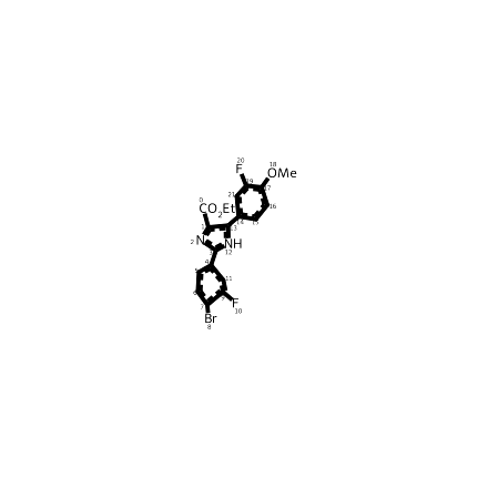 CCOC(=O)c1nc(-c2ccc(Br)c(F)c2)[nH]c1-c1ccc(OC)c(F)c1